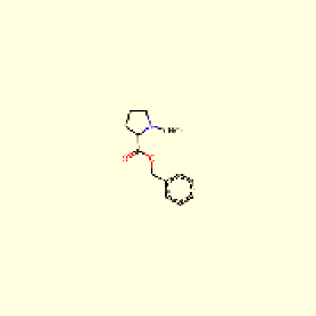 O=[C]N1CCCC1C(=O)OCc1ccccc1